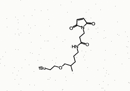 CC(CCCNC(=O)CCN1C(=O)C=CC1=O)COCCC(C)(C)C